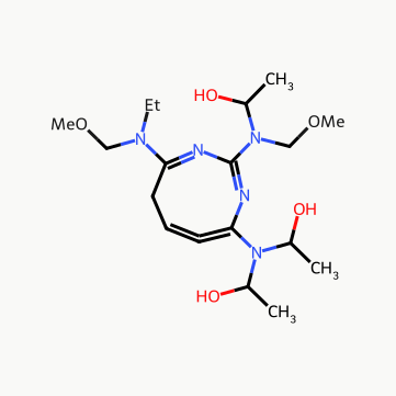 CCN(COC)/C1=N/C(N(COC)C(C)O)=N\C(N(C(C)O)C(C)O)=C=CC1